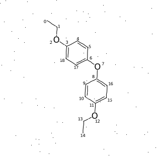 CCOc1ccc(Oc2ccc(OCC)cc2)cc1